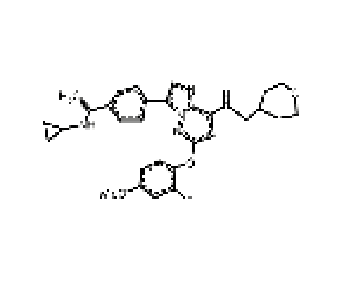 C=C(NC1CC1)c1ccc(-c2cnc3c(NCC4CCOCC4)cc(Oc4ccc(OC)cc4F)nn23)cc1